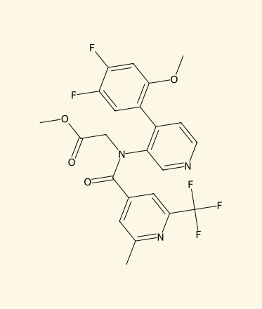 COC(=O)CN(C(=O)c1cc(C)nc(C(F)(F)F)c1)c1cnccc1-c1cc(F)c(F)cc1OC